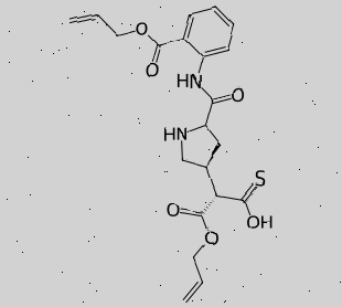 C=CCOC(=O)c1ccccc1NC(=O)C1C[C@@H]([C@@H](C(=O)OCC=C)C(O)=S)CN1